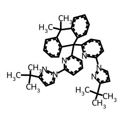 CC(C)(C)c1ccn(-c2cccc(C3(c4cccc(-n5ccc(C(C)(C)C)n5)n4)c4ccccc4C(C)(C)c4ccccc43)n2)n1